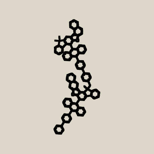 CC1(C)c2ccccc2-c2c1cc1c(oc3ccc4ccccc4c31)c2-c1c2ccccc2c(-c2ccc(-c3ccc(CC4(C)c5ccccc5-c5cc(-c6c7ccccc7c(-c7ccc(-c8ccccc8)cc7)c7ccccc67)c6oc7cc8ccccc8cc7c6c54)cc3)cc2)c2ccccc12